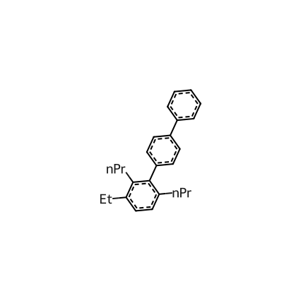 CCCc1ccc(CC)c(CCC)c1-c1ccc(-c2ccccc2)cc1